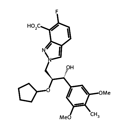 COc1cc([C@@H](O)[C@H](Cn2cc3ccc(F)c(C(=O)O)c3n2)OC2CCCC2)cc(OC)c1C